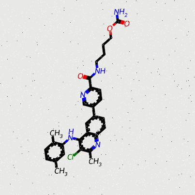 Cc1ccc(C)c(Nc2c(Cl)c(C)nc3ccc(-c4ccc(C(=O)NCCCCOC(N)=O)nc4)cc23)c1